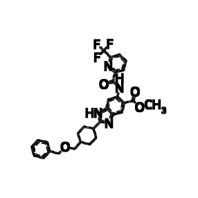 COC(=O)c1cc2nc(C3CCC(COCc4ccccc4)CC3)[nH]c2cc1NC(=O)c1cccc(C(F)(F)F)n1